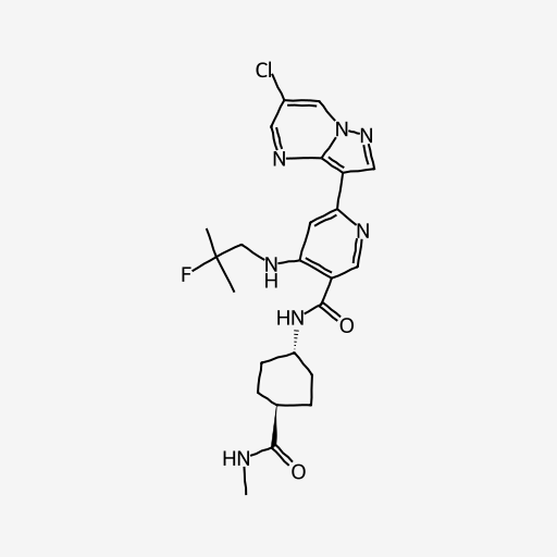 CNC(=O)[C@H]1CC[C@H](NC(=O)c2cnc(-c3cnn4cc(Cl)cnc34)cc2NCC(C)(C)F)CC1